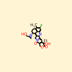 CC[C@@]1(O)C(=O)OCc2c1cc1n(c2=O)Cc2c-1nc1cc(F)c(C)c3c1c2[C@@H](N1CC1CO)CC3